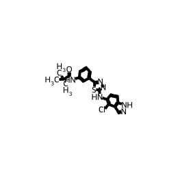 CC(C)(C)C(=O)Nc1cccc(-c2nnc(Nc3ccc4[nH]ncc4c3Cl)s2)c1